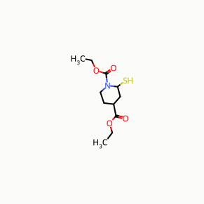 CCOC(=O)C1CCN(C(=O)OCC)C(S)C1